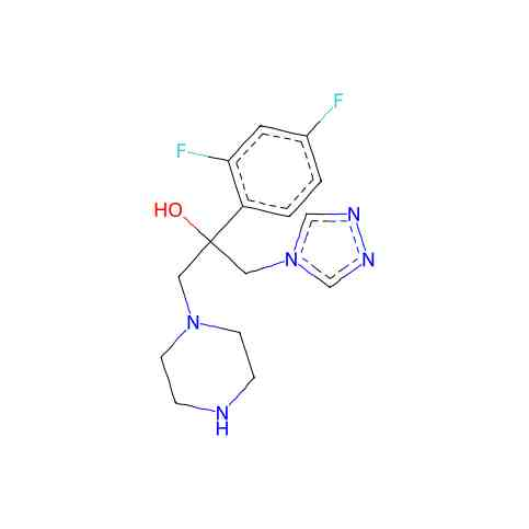 OC(CN1CCNCC1)(Cn1cnnc1)c1ccc(F)cc1F